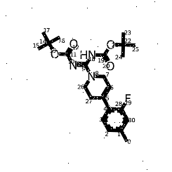 Cc1ccc(C2=CCN(C(=NC(=O)OC(C)(C)C)NC(=O)OC(C)(C)C)CC2)c(F)c1